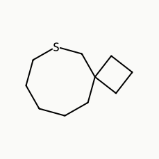 C1CCSCC2(CC1)CCC2